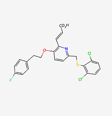 O=C(O)C=Cc1nc(CSc2c(Cl)cccc2Cl)ccc1OCCc1ccc(F)cc1